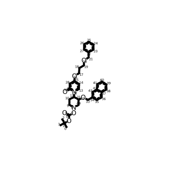 CC(C)(C)OC(=O)ON1CCC(n2ccc(OCCCOCc3ccccc3)cc2=O)C(OCc2ccc3ccccc3c2)C1